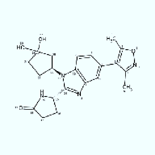 Cc1noc(C)c1-c1ccc2c(c1)nc([C@@H]1CCC(=O)N1)n2[C@H]1CCS(O)(O)C1